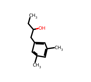 CCC(O)Cc1cc(C)cc(C)c1